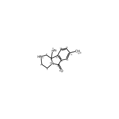 CCCC12CNCCN1C(=O)c1cc(C)ccc12